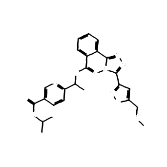 COCc1cc(-c2nnc3c4ccccc4c(OC(C)c4ccc(C(=O)NC(C)C)cn4)nn23)no1